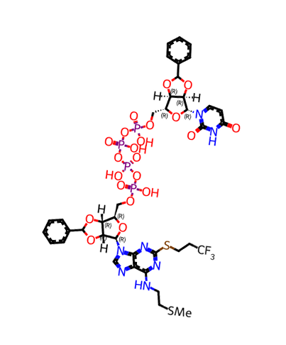 CSCCNc1nc(SCCC(F)(F)F)nc2c1ncn2[C@@H]1O[C@H](COP(=O)(O)OP(=O)(O)OP(=O)(O)OP(=O)(O)OC[C@H]2O[C@@H](n3ccc(=O)[nH]c3=O)[C@@H]3OC(c4ccccc4)O[C@@H]32)[C@H]2OC(c3ccccc3)O[C@H]21